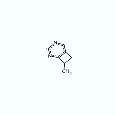 CC1Cc2cn[c]nc21